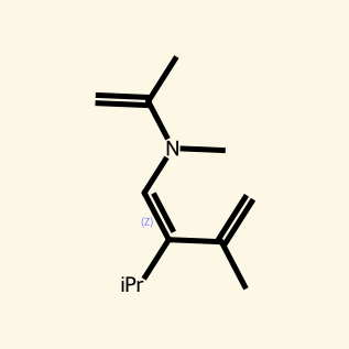 C=C(C)/C(=C\N(C)C(=C)C)C(C)C